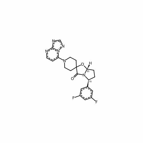 O=C1N2[C@@H](CC[C@H]2c2cc(F)cc(F)c2)OC12CCN(c1ccnc3ncnn13)CC2